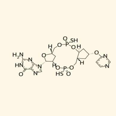 Nc1nc2c(ncn2[C@@H]2O[C@@H]3CO[P@@](=O)(S)O[C@H]4C[C@H](Oc5ccncn5)C[C@@H]4CO[P@@](=O)(S)O[C@@H]2C3)c(=O)[nH]1